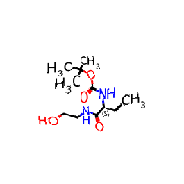 CC[C@H](NC(=O)OC(C)(C)C)C(=O)NCCO